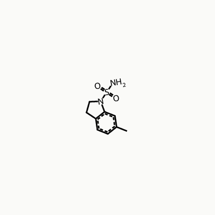 Cc1ccc2c(c1)N(S(N)(=O)=O)CC2